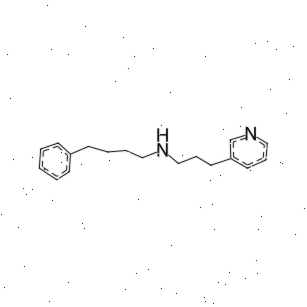 c1ccc(CCCCNCCCc2cccnc2)cc1